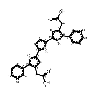 O=C(O)Cc1cc(-c2ccc(-c3cc(CC(=O)O)c(-c4cccnc4)s3)s2)sc1-c1cccnc1